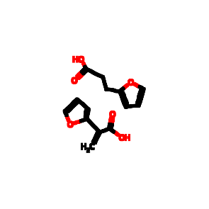 C=C(C(=O)O)c1ccco1.O=C(O)CCc1ccco1